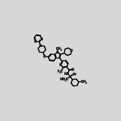 CC1CCCC(C(NC(=O)c2ccc(-c3c(C4CCOCC4)n(C)c4cc(OC5CCN(c6ncccn6)CC5)ccc34)nc2C(F)(F)F)(C(=O)O)C(C)C)C1